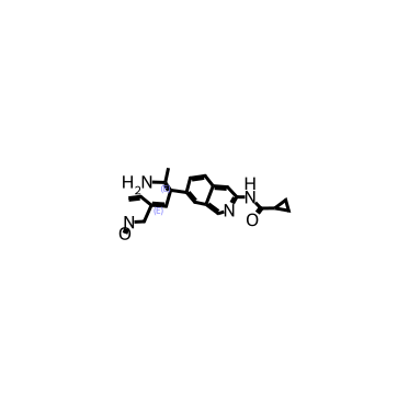 C=C/C(=C\C(=C(\C)N)c1ccc2cc(NC(=O)C3CC3)ncc2c1)CN=O